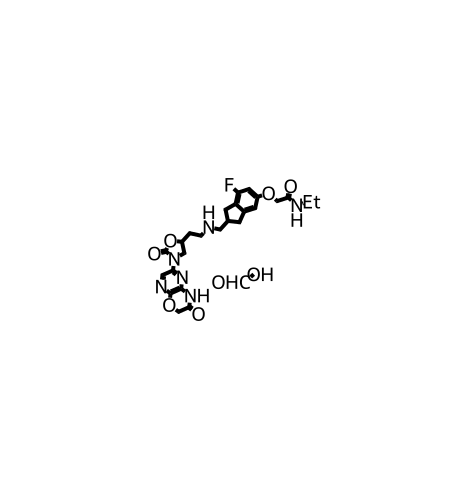 CCNC(=O)COc1cc(F)c2c(c1)CC(CNCCC1CN(c3cnc4c(n3)NC(=O)CO4)C(=O)O1)C2.O=CO